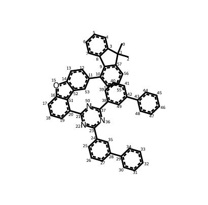 CC1(C)c2ccccc2-c2c(-c3ccc4oc5cccc(-c6nc(-c7cccc(-c8ccccc8)c7)nc(-c7cccc(-c8ccccc8)c7)n6)c5c4c3)cccc21